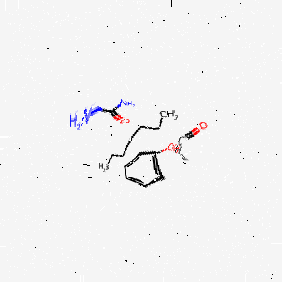 BCCCCC.C=O.NC(N)=O.Oc1ccccc1